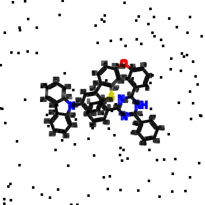 c1ccc(C2=NC(c3cccc4oc5ccc6c7cc(-n8c9ccccc9c9ccccc98)ccc7sc6c5c34)NC(c3ccccc3)=N2)cc1